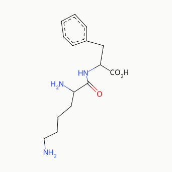 NCCCCC(N)C(=O)NC(Cc1ccccc1)C(=O)O